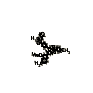 COc1cc(-c2cnc3c(n2)c(-c2ccc(C(=O)N(C)CC4CCOC4)cc2)cn3S(=O)(=O)c2ccc(C)cc2)cc2c1CN(C)CC2